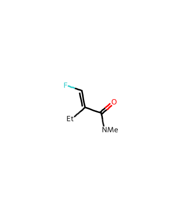 CC/C(=C\F)C(=O)NC